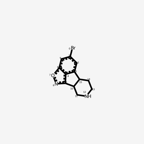 Brc1cc2c3c(noc3c1)C1CNCCC21